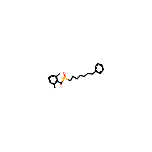 Cc1cccc(C)c1C(=O)[PH](=O)CCCCCCCc1ccccc1